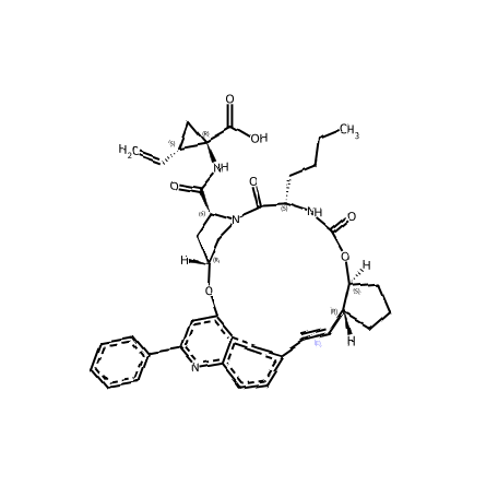 C=C[C@@H]1C[C@]1(NC(=O)[C@@H]1C[C@@H]2CN1C(=O)[C@H](CCCC)NC(=O)O[C@H]1CCC[C@@H]1/C=C/c1ccc3nc(-c4ccccc4)cc(c3c1)O2)C(=O)O